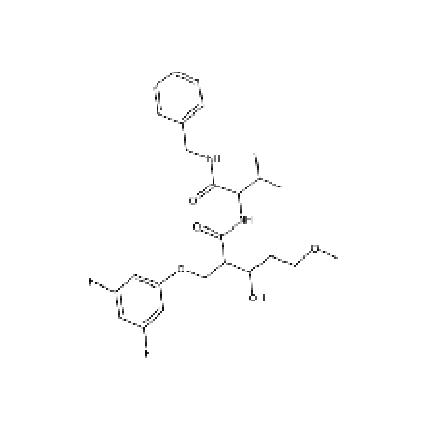 COCCC(O)[C](COc1cc(F)cc(F)c1)C(=O)NC(C(=O)NCc1ccccc1)C(C)C